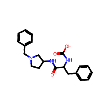 O=C(O)NC(Cc1ccccc1)C(=O)NC1CCN(Cc2ccccc2)C1